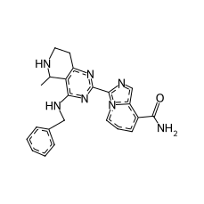 CC1NCCc2nc(-c3ncc4c(C(N)=O)cccn34)nc(NCc3ccccc3)c21